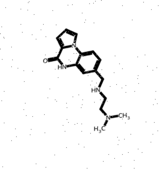 CN(C)CCNCc1ccc2c(c1)[nH]c(=O)c1cccn12